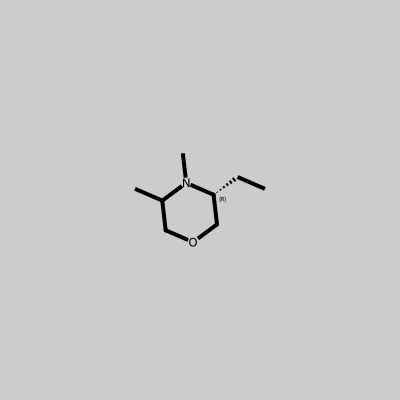 CC[C@@H]1COCC(C)N1C